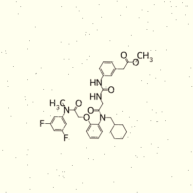 COC(=O)Cc1cccc(NC(=O)NCC(=O)N(CC2CCCCC2)c2ccccc2OCC(=O)N(C)c2cc(F)cc(F)c2)c1